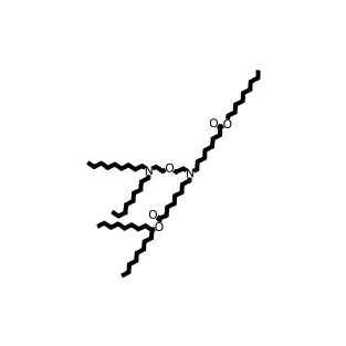 CCCCCCCCCOC(=O)CCCCCCCN(CCCCCCCC(=O)OC(CCCCCCCC)CCCCCCCC)CCOCCN(CCCCCCCCC)CCCCCCCCC